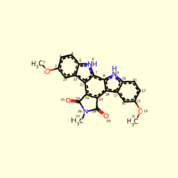 COc1ccc2[nH]c3c4[nH]c5ccc(OC)cc5c4c4c(c3c2c1)C(=O)N(C)C4=O